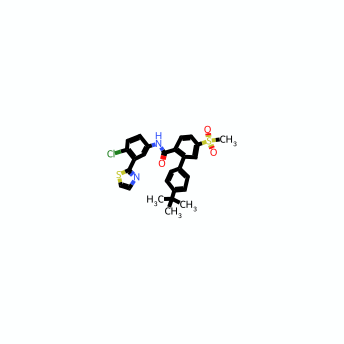 CC(C)(C)c1ccc(-c2cc(S(C)(=O)=O)ccc2C(=O)Nc2ccc(Cl)c(-c3nccs3)c2)cc1